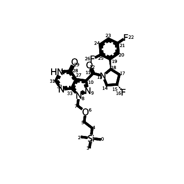 C[Si](C)(C)CCOCn1nc(C(=O)N2C[C@@H](F)C[C@@H]2c2cc(F)ccc2F)c2c(=O)[nH]cnc21